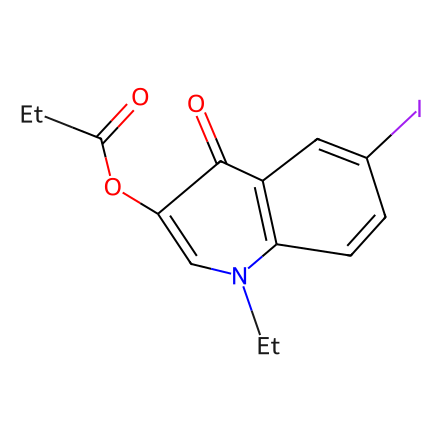 CCC(=O)Oc1cn(CC)c2ccc(I)cc2c1=O